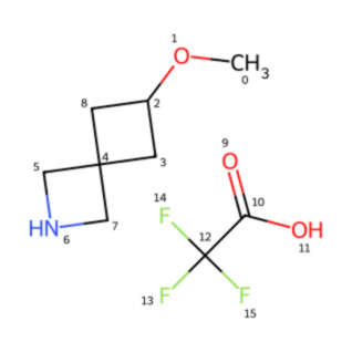 COC1CC2(CNC2)C1.O=C(O)C(F)(F)F